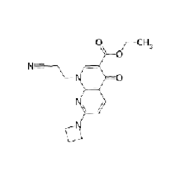 CCOC(=O)c1cn(CCC#N)c2nc(N3CCC3)ccc2c1=O